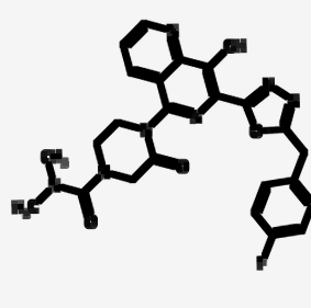 CN(C)C(=O)N1CCN(c2nc(-c3nnc(Cc4ccc(F)cc4)o3)c(O)c3ncccc23)C(=O)C1